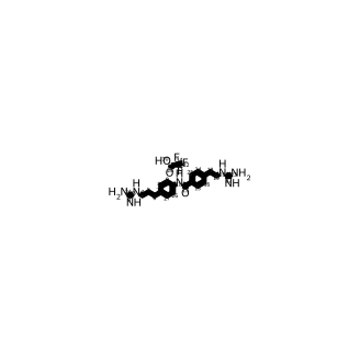 N=C(N)NCCCc1ccc(NC(=O)c2ccc(CCNC(=N)N)cc2)cc1.O=C(O)C(F)(F)F